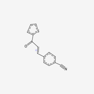 N#Cc1ccc(/C=C/C(=O)c2cccs2)cc1